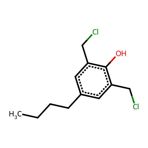 CCCCc1cc(CCl)c(O)c(CCl)c1